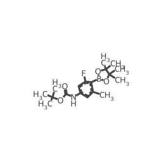 Cc1cc(NC(=O)OC(C)(C)C)cc(F)c1B1OC(C)(C)C(C)(C)O1